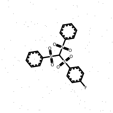 O=S(=O)(c1ccccc1)C(S(=O)(=O)c1ccccc1)S(=O)(=O)c1ccc(F)cc1